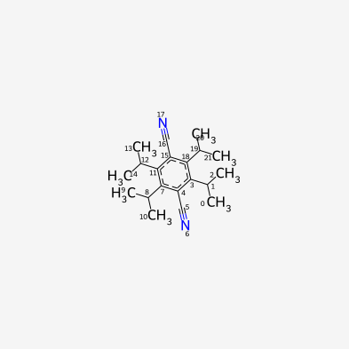 CC(C)c1c(C#N)c(C(C)C)c(C(C)C)c(C#N)c1C(C)C